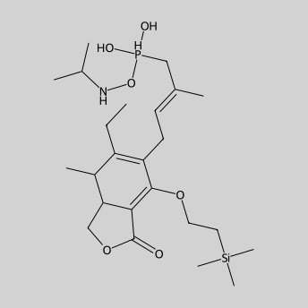 CCC1=C(C/C=C(\C)C[PH](O)(O)ONC(C)C)C(OCC[Si](C)(C)C)=C2C(=O)OCC2C1C